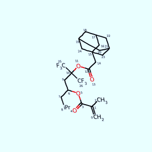 C=C(C)C(=O)OC(CC(C)C)CC(OC(=O)CC12CC3CC(CC(C3)C1)C2)(C(F)(F)F)C(F)(F)F